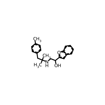 Cc1ccc(CC(C)(C)NCC(O)c2cc3ccccc3o2)cc1